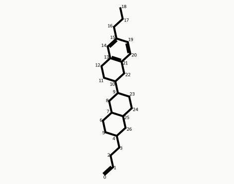 C=CCCC1CCC2CC(C3CCc4cc(CCC)ccc4C3)CCC2C1